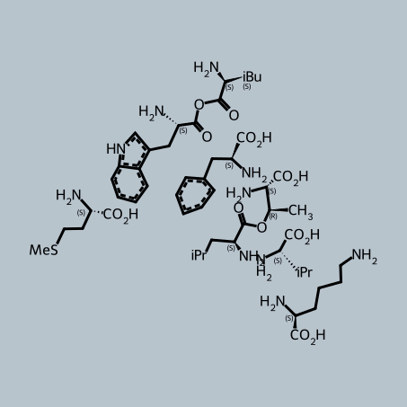 CC(C)C[C@H](N)C(=O)O[C@H](C)[C@H](N)C(=O)O.CC(C)[C@H](N)C(=O)O.CC[C@H](C)[C@H](N)C(=O)OC(=O)[C@@H](N)Cc1c[nH]c2ccccc12.CSCC[C@H](N)C(=O)O.NCCCC[C@H](N)C(=O)O.N[C@@H](Cc1ccccc1)C(=O)O